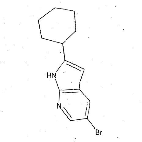 Brc1cnc2[nH]c(C3CCCCC3)cc2c1